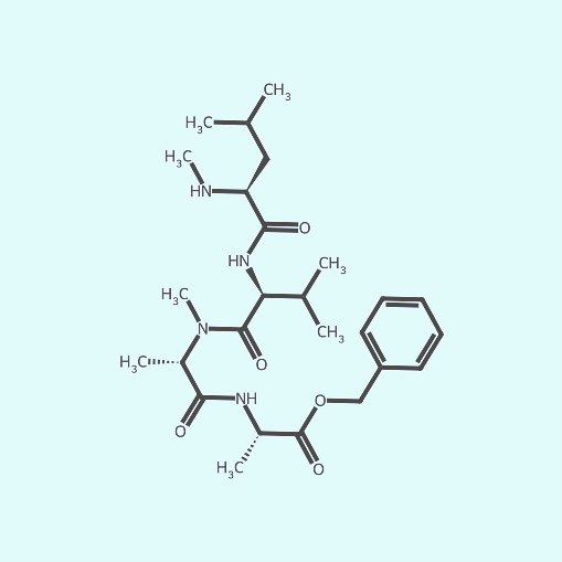 CN[C@@H](CC(C)C)C(=O)N[C@H](C(=O)N(C)[C@@H](C)C(=O)N[C@@H](C)C(=O)OCc1ccccc1)C(C)C